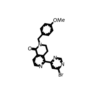 COc1ccc(CN2CCc3c(ccnc3-c3cc(Br)ncn3)C2=O)cc1